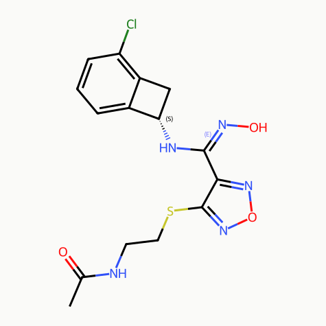 CC(=O)NCCSc1nonc1/C(=N\O)N[C@H]1Cc2c(Cl)cccc21